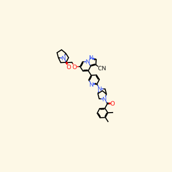 Cc1cccc(C(=O)N2CC3CC2CN3c2ccc(-c3cc(OCCN4C5CCC4CC(=O)C5)cn4ncc(C#N)c34)cn2)c1C